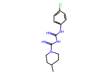 CC1CCN(C(=N)NC(=N)Nc2ccc(Cl)cc2)CC1